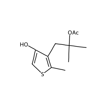 CC(=O)OC(C)(C)Cc1c(O)csc1C